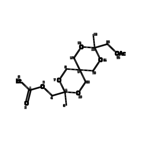 CCC(=O)OCC1(C)OCC2(COC(C)(COC(C)=O)OC2)CO1